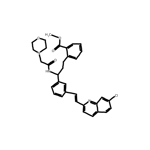 COC(=O)c1ccccc1CCC(NC(=O)CN1CCOCC1)c1cccc(C=Cc2ccc3ccc(Cl)cc3n2)c1